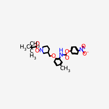 Cc1ccc(OCC2CCCN(OC(=O)C(C)(C)C)C2)c(NC(=O)Oc2ccc([N+](=O)[O-])cc2)c1